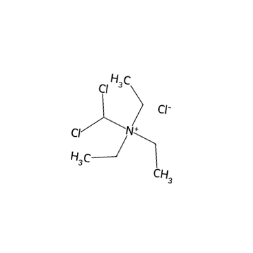 CC[N+](CC)(CC)C(Cl)Cl.[Cl-]